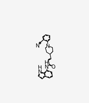 N#Cc1ccccc1N1CCC(C=CC(=O)Nc2cccc3cc[nH]c23)CC1